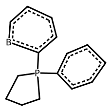 b1ccccc1[P]1(c2ccccc2)CCCC1